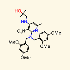 COc1ccc(CN(Cc2ccc(OC)cc2OC)c2nc(C)cc(NCC(C)(C)O)c2[N+](=O)[O-])c(OC)c1